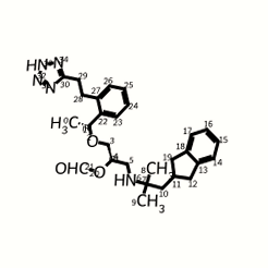 C[C@@H](OC[C@@H](CNC(C)(C)CC1Cc2ccccc2C1)OC=O)c1ccccc1CCc1nn[nH]n1